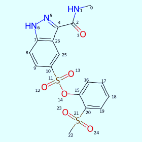 CNC(=O)c1n[nH]c2ccc(S(=O)(=O)Oc3ccccc3S(C)(=O)=O)cc12